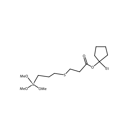 CCC1(OC(=O)CCSCCC[Si](OC)(OC)OC)CCCC1